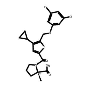 C[C@@]1(C(=O)O)CCCN1C(=O)c1cc(C2CC2)c(COc2cc(Cl)cc(Cl)c2)s1